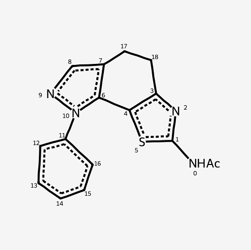 CC(=O)Nc1nc2c(s1)-c1c(cnn1-c1ccccc1)CC2